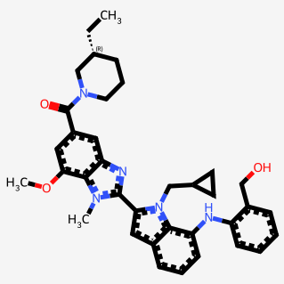 CC[C@@H]1CCCN(C(=O)c2cc(OC)c3c(c2)nc(-c2cc4cccc(Nc5ccccc5CO)c4n2CC2CC2)n3C)C1